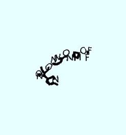 Cc1ccc(-c2noc(C)c2COc2ccc(C(=O)N[C@H]3C[C@@H](OC(F)F)C3)nn2)cn1